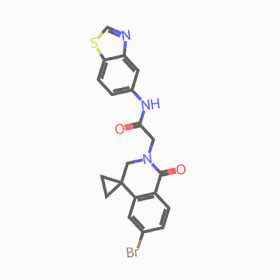 O=C(CN1CC2(CC2)c2cc(Br)ccc2C1=O)Nc1ccc2scnc2c1